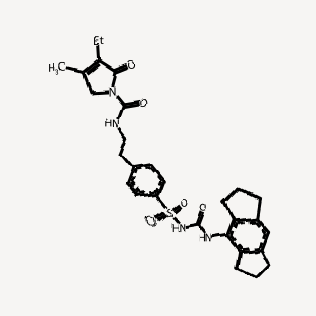 CCC1=C(C)CN(C(=O)NCCc2ccc(S(=O)(=O)NC(=O)Nc3c4c(cc5c3CCC5)CCC4)cc2)C1=O